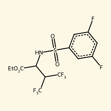 CCOC(=O)C(NS(=O)(=O)c1cc(F)cc(F)c1)C(C(F)(F)F)C(F)(F)F